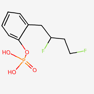 O=P(O)(O)Oc1ccccc1CC(F)CCF